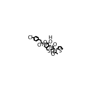 CC(=O)N(c1cccs1)C1C(=O)N2C(C(=O)O)=C(CNC(=O)Cc3ccc(Cl)cc3)CS[C@@H]12